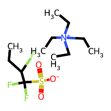 CCC(F)C(F)(F)S(=O)(=O)[O-].CC[N+](CC)(CC)CC